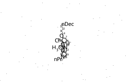 CCCCCCCCCCCCCCOc1ccc(CN(Cc2cc[n+](CCC)cc2)S(C)(=O)=O)cc1Cl.[I-]